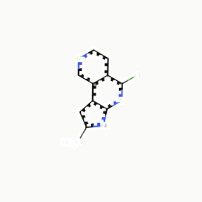 O=C(O)c1cc2c(nc(Cl)c3ccncc32)[nH]1